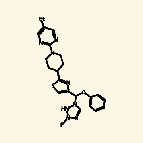 CCc1cnc(N2CCC(c3nc(C(Oc4ccccc4)N4C=NN(F)N4)cs3)CC2)nc1